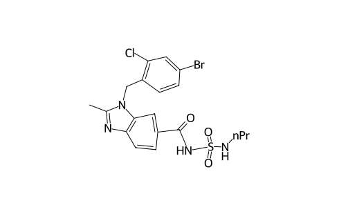 CCCNS(=O)(=O)NC(=O)c1ccc2nc(C)n(Cc3ccc(Br)cc3Cl)c2c1